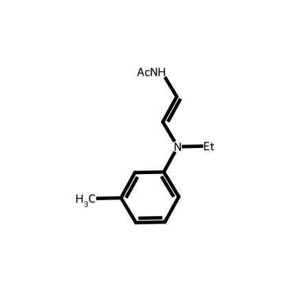 CCN(C=CNC(C)=O)c1cccc(C)c1